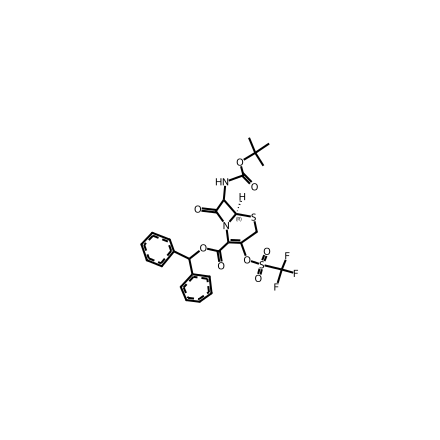 CC(C)(C)OC(=O)NC1C(=O)N2C(C(=O)OC(c3ccccc3)c3ccccc3)=C(OS(=O)(=O)C(F)(F)F)CS[C@H]12